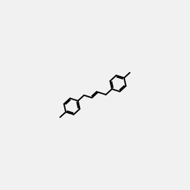 Cc1ccc(CC=CCc2ccc(C)cc2)cc1